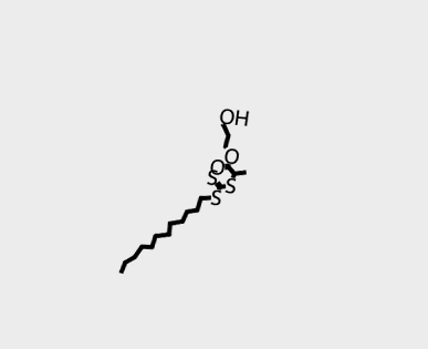 CCCCCCCCCCCCSC(=S)SC(C)C(=O)OCCCO